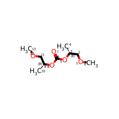 COC[C@@H](C)OC(=O)O[C@H](C)COC